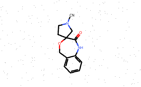 N#CN1CCC2(C1)OCc1ccccc1NC2=O